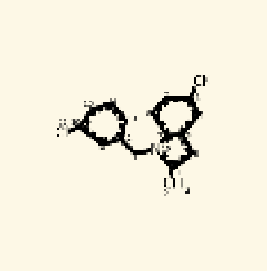 Cc1cc2cc(Cl)ccc2n1Cc1cccc(Cl)c1